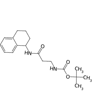 CC(C)(C)OC(=O)NCCC(=O)NC1CCCc2ccccc21